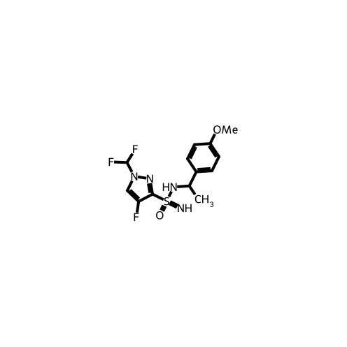 COc1ccc(C(C)NS(=N)(=O)c2nn(C(F)F)cc2F)cc1